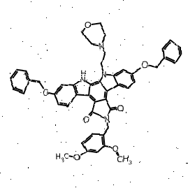 COc1ccc(CN2C(=O)c3c(c4c5ccc(OCc6ccccc6)cc5n(CCN5CCOCC5)c4c4[nH]c5cc(OCc6ccccc6)ccc5c34)C2=O)c(OC)c1